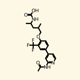 CC(=O)Nc1cc(-c2ccc(OCC(C)CC(C)NC(=O)O)c(C(F)(F)F)c2)ccn1